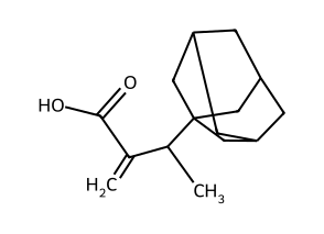 C=C(C(=O)O)C(C)C12CC3CC(CC(C3)C1)C2